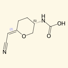 N#C/C=C1/CC[C@H](NC(=O)O)CO1